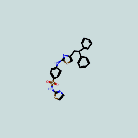 O=S(=O)(Nc1nccs1)c1ccc(Nc2nc(CC(c3ccccc3)c3ccccc3)cs2)cc1